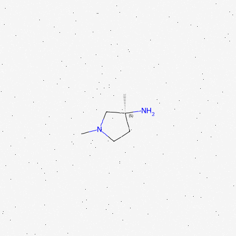 CN1CC[C@](C)(N)C1